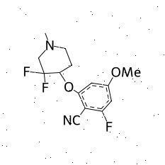 COc1cc(F)c(C#N)c(OC2CCN(C)CC2(F)F)c1